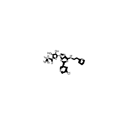 [2H]C([2H])([2H])NC(=O)[C@H]1O[C@@H](n2cnc3c(NCCc4ccccn4)nc(-c4cncc(Cl)c4)nc32)[C@H](O)[C@@H]1O